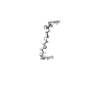 CCCCCCCOC(=O)CCCOCCOCCOCCCCC